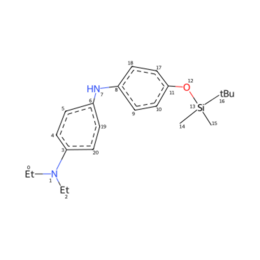 CCN(CC)c1ccc(Nc2ccc(O[Si](C)(C)C(C)(C)C)cc2)cc1